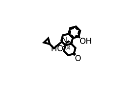 O=C1CC[C@@]2(O)C3Cc4cccc(O)c4[C@@]2(CCN3CC2CC2)C1